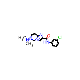 CN(C)N1C=CC2=NC(C(=O)Nc3cccc(Cl)c3)=C[N+]2C1